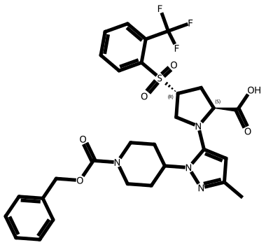 Cc1cc(N2C[C@H](S(=O)(=O)c3ccccc3C(F)(F)F)C[C@H]2C(=O)O)n(C2CCN(C(=O)OCc3ccccc3)CC2)n1